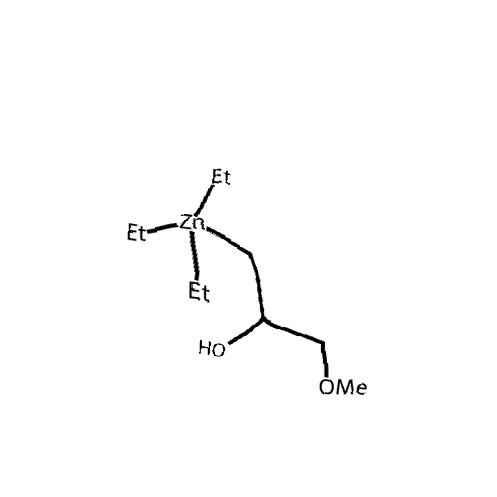 C[CH2][Zn]([CH2]C)([CH2]C)[CH2]C(O)COC